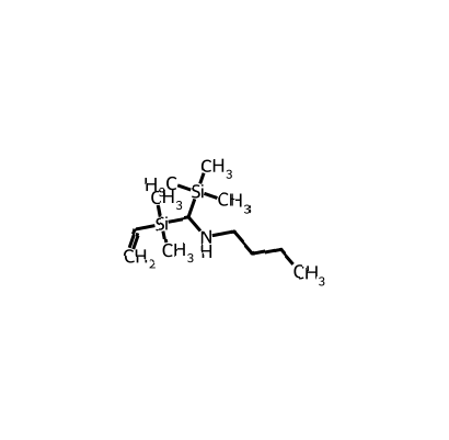 C=C[Si](C)(C)C(NCCCC)[Si](C)(C)C